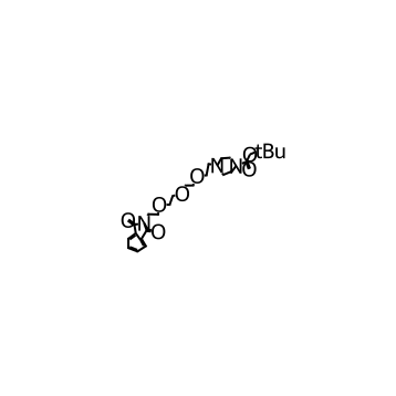 CC(C)(C)OC(=O)N1CCN(CCOCCOCCOCCN2C(=O)c3ccccc3C2=O)CC1